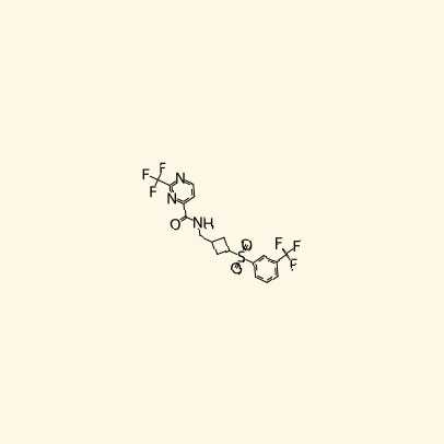 O=C(NCC1CC(S(=O)(=O)c2cccc(C(F)(F)F)c2)C1)c1ccnc(C(F)(F)F)n1